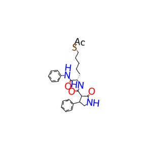 CC(=O)SCCCCC[C@H](NC(=O)C1C(=O)NCC1c1ccccc1)C(=O)Nc1ccccc1